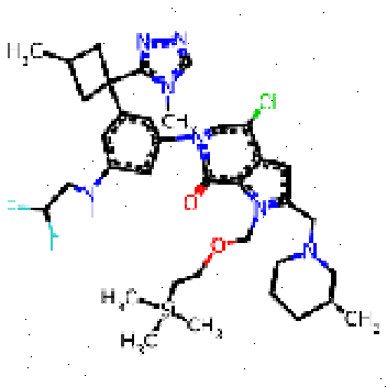 CC1CC(c2cc(NCC(F)F)cc(-n3cc(Cl)c4cc(CN5CCC[C@H](C)C5)n(COCC[Si](C)(C)C)c4c3=O)c2)(c2nncn2C)C1